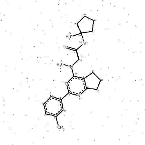 Cc1ccnc(-c2nc3c(c(N(C)CC(=O)NC4(C)CCCC4)n2)CCC3)c1